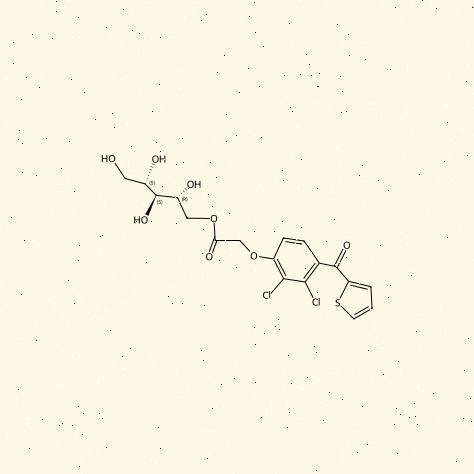 O=C(COc1ccc(C(=O)c2cccs2)c(Cl)c1Cl)OC[C@@H](O)[C@@H](O)[C@@H](O)CO